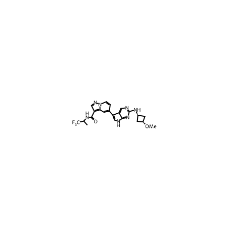 CO[C@H]1C[C@@H](Nc2ncc3c(-c4ccn5ncc(C(=O)NC(C)C(F)(F)F)c5c4)c[nH]c3n2)C1